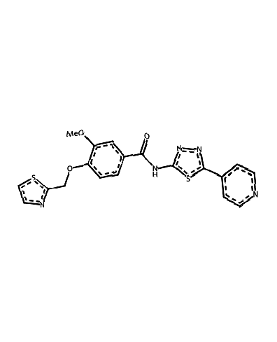 COc1cc(C(=O)Nc2nnc(-c3ccncc3)s2)ccc1OCc1nccs1